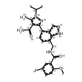 COc1ccc(F)cc1C(=O)NCc1ccc(-c2nn(C(C)C)c(N)c2C(N)=O)c2cn[nH]c12